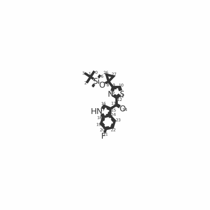 CC(C)(C)[Si](C)(C)OC1(c2csc(C(=O)c3c[nH]c4cc(F)ccc34)n2)CC1